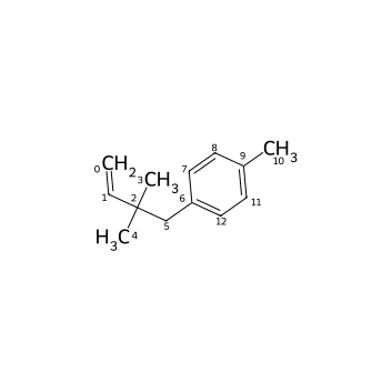 C=CC(C)(C)Cc1ccc(C)cc1